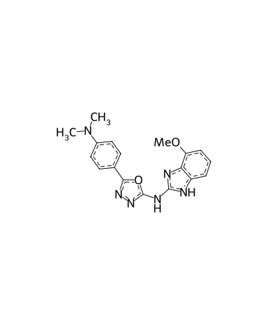 COc1cccc2[nH]c(Nc3nnc(-c4ccc(N(C)C)cc4)o3)nc12